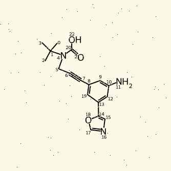 CC(C)(C)N(CC#Cc1cc(N)cc(-c2cnco2)c1)C(=O)O